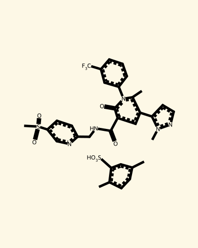 Cc1c(-c2ccnn2C)cc(C(=O)NCc2ccc(S(C)(=O)=O)cn2)c(=O)n1-c1cccc(C(F)(F)F)c1.Cc1ccc(C)c(S(=O)(=O)O)c1